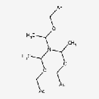 CC(=O)COC(C)N(C(C)OCC(C)=O)C(C)OCC(C)=O